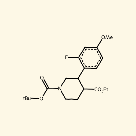 CCOC(=O)C1CCN(C(=O)OC(C)(C)C)CC1c1ccc(OC)cc1F